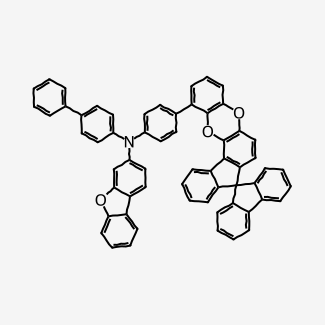 c1ccc(-c2ccc(N(c3ccc(-c4cccc5c4Oc4c(ccc6c4-c4ccccc4C64c6ccccc6-c6ccccc64)O5)cc3)c3ccc4c(c3)oc3ccccc34)cc2)cc1